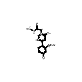 CC(=O)Nc1cc(Cl)ccc1-c1cc(=O)n(CC(=O)OC(C)(C)C)cn1